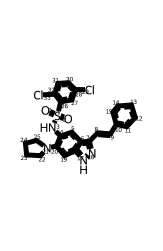 O=S(=O)(Nc1cc2c(C=Cc3ccccc3)n[nH]c2cc1N1CCCC1)c1cc(Cl)ccc1Cl